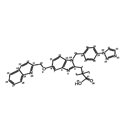 CC(C)(Cc1nc2cc(OCc3ccc4ccccc4n3)ccc2n1Cc1ccc(-n2ccnn2)cc1)C(=O)O